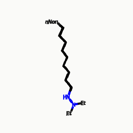 CCCCCCCCCCCCCCCCCCNN(CC)CC